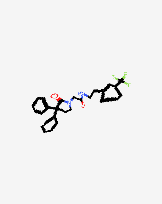 O=C(CN1CCC(c2ccccc2)(c2ccccc2)C1=O)NCCc1cccc(C(F)(F)F)c1